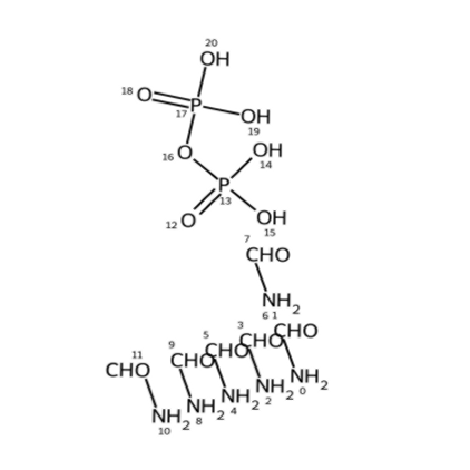 NC=O.NC=O.NC=O.NC=O.NC=O.NC=O.O=P(O)(O)OP(=O)(O)O